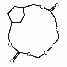 O=C1CCCCCCCC(=O)OCC2CCC(CC2)CO1